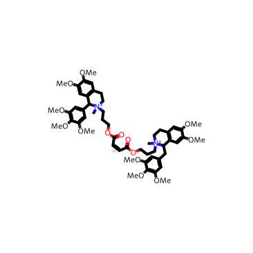 COc1cc2c(cc1OC)C(Cc1cc(OC)c(OC)c(OC)c1)[N+](C)(CCCOC(=O)/C=C\C(=O)OCCC[N+]1(C)CCc3cc(OC)c(OC)cc3C1c1cc(OC)c(OC)c(OC)c1)CC2